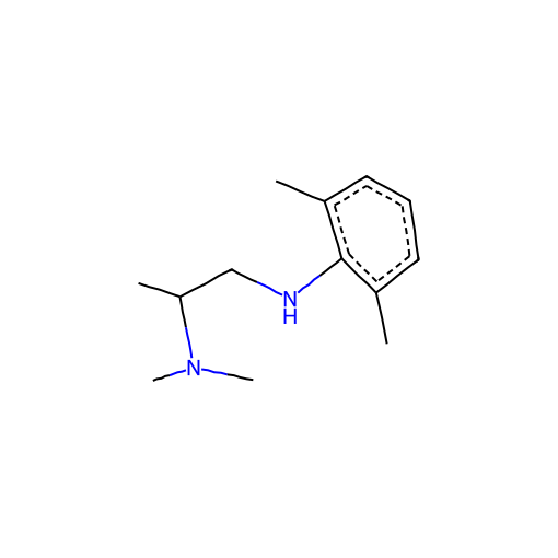 Cc1cccc(C)c1NCC(C)N(C)C